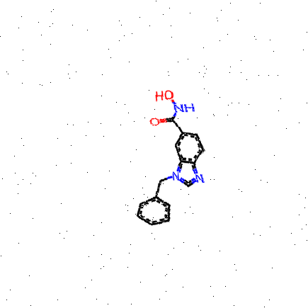 O=C(NO)c1ccc2ncn(Cc3ccccc3)c2c1